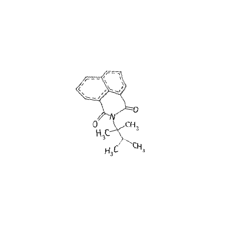 CC(C)C(C)(C)N1C(=O)c2cccc3cccc(c23)C1=O